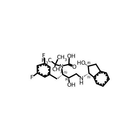 CC(C)(C)N(C(=O)O)[C@@H](Cc1cc(F)cc(F)c1)[C@H](O)CN[C@H]1c2ccccc2C[C@H]1O